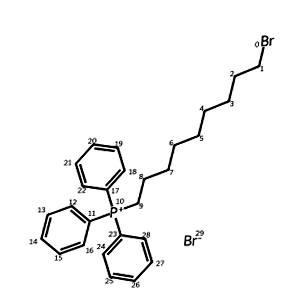 BrCCCCCCCCC[P+](c1ccccc1)(c1ccccc1)c1ccccc1.[Br-]